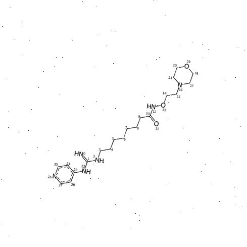 N=C(NCCCCCCCC(=O)NOCCN1CCOCC1)Nc1ccncc1